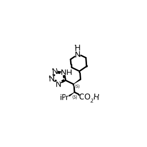 CC(C)[C@H](C(=O)O)[C@H](CC1CCNCC1)c1nnn[nH]1